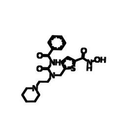 O=C(NC(=O)N(CCN1CCCCC1)Cc1ccc(C(=O)NO)s1)c1ccccc1